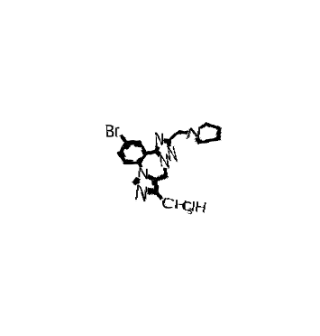 Cc1ncn2c1Cn1nc(CN3CCCC3)nc1-c1cc(Br)ccc1-2.Cl